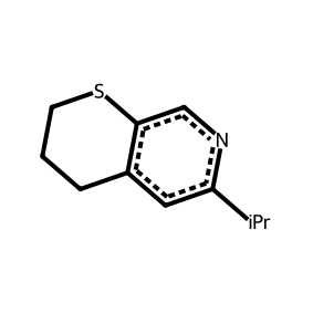 CC(C)c1cc2c(cn1)SCCC2